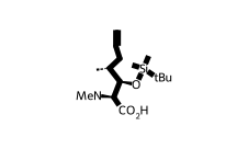 C=CC[C@@H](C)[C@@H](O[Si](C)(C)C(C)(C)C)[C@H](NC)C(=O)O